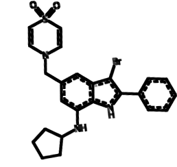 O=S1(=O)C=CN(Cc2cc(NC3CCCC3)c3[nH]c(-c4ccccc4)c(Br)c3c2)C=C1